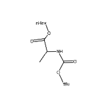 CCCCCCOC(=O)C(C)NC(=O)OC(C)(C)C